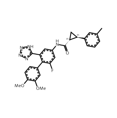 COc1ccc(-c2c(F)cc(NC(=O)[C@@H]3C[C@H]3c3cccc(C)c3)cc2-c2nnn[nH]2)cc1OC